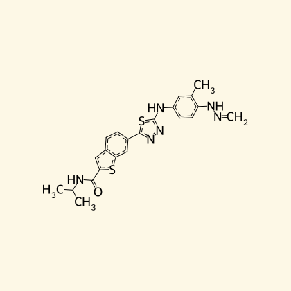 C=NNc1ccc(Nc2nnc(-c3ccc4cc(C(=O)NC(C)C)sc4c3)s2)cc1C